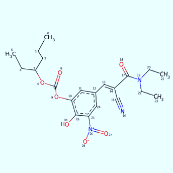 CCCC(CC)OC(=O)Oc1cc(/C=C(\C#N)C(=O)N(CC)CC)cc([N+](=O)[O-])c1O